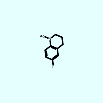 CC(=O)N1CCCc2cc(F)ccc21